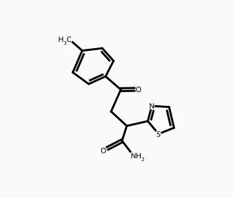 Cc1ccc(C(=O)CC(C(N)=O)c2nccs2)cc1